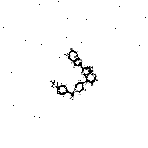 O=C(c1ccc(OC(F)(F)F)cc1)N1CCC(c2ccnc3[nH]c(-c4cc5c(s4)CCNC5)nc23)CC1